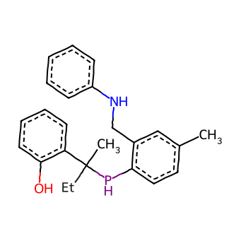 CCC(C)(Pc1ccc(C)cc1CNc1ccccc1)c1ccccc1O